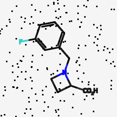 O=C(O)C1CCN1Cc1cc[c]c(F)c1